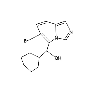 OC(c1c(Br)ccc2cncn12)C1CCCCC1